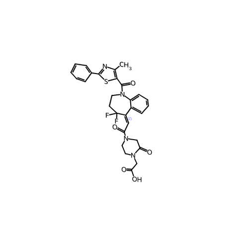 Cc1nc(-c2ccccc2)sc1C(=O)N1CCC(F)(F)/C(=C\C(=O)N2CCN(CC(=O)O)C(=O)C2)c2ccccc21